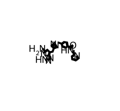 Nc1cc(Cc2cnn(Cc3ccc(C(=O)NCc4ccccn4)cc3)c2)c2nn[nH]c2n1